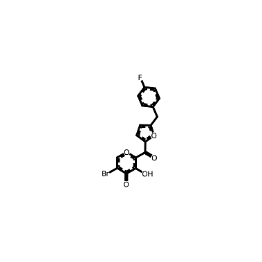 O=C(c1ccc(Cc2ccc(F)cc2)o1)c1occ(Br)c(=O)c1O